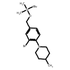 CC1CCN(c2ccc(CO[Si](C)(C)C(C)(C)C)cc2Br)CC1